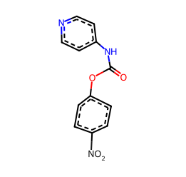 O=C(Nc1ccncc1)Oc1ccc([N+](=O)[O-])cc1